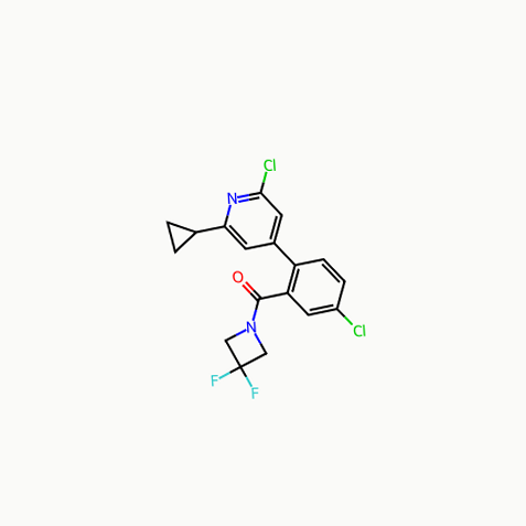 O=C(c1cc(Cl)ccc1-c1cc(Cl)nc(C2CC2)c1)N1CC(F)(F)C1